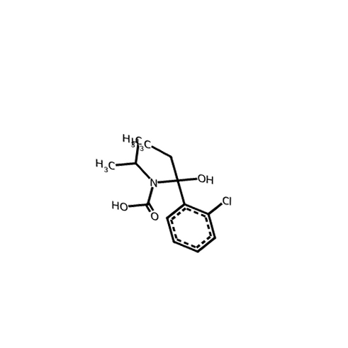 CCC(O)(c1ccccc1Cl)N(C(=O)O)C(C)C